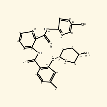 Cc1ccc(C(=S)Nc2cccnc2C(=O)Nc2ccc(Cl)cn2)c(O[C@H]2CC[C@H](N)CC2)c1